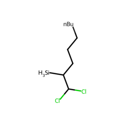 CCCCCCCC([SiH3])C(Cl)Cl